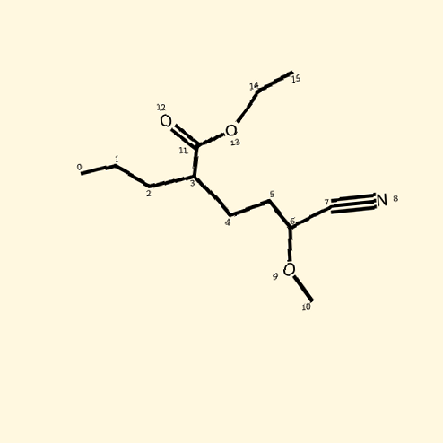 CCCC(CCC(C#N)OC)C(=O)OCC